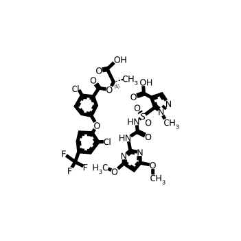 COc1cc(OC)nc(NC(=O)NS(=O)(=O)c2c(C(=O)O)cnn2C)n1.C[C@H](OC(=O)c1cc(Oc2ccc(C(F)(F)F)cc2Cl)ccc1Cl)C(=O)O